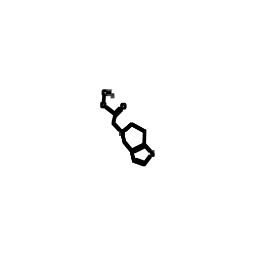 COC(=O)CN1CCc2sccc2C1